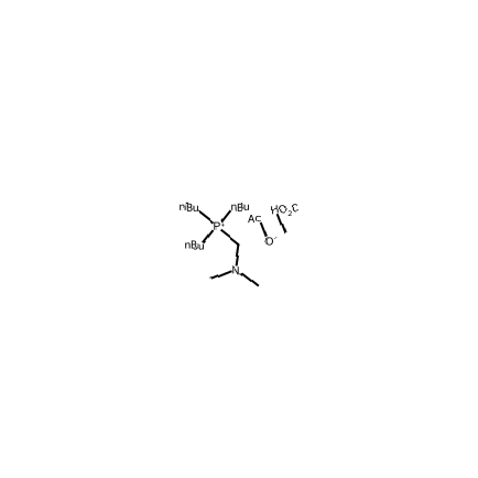 CC(=O)O.CC(=O)[O-].CCCC[P+](CCCC)(CCCC)CN(C)C